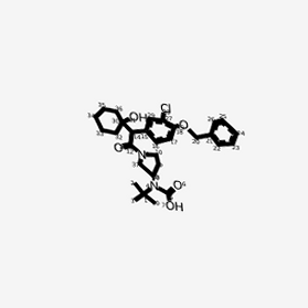 CC(C)(C)N(C(=O)O)[C@H]1CCN(C(=O)C(c2ccc(OCc3ccccc3)c(Cl)c2)C2(O)CCCCC2)C1